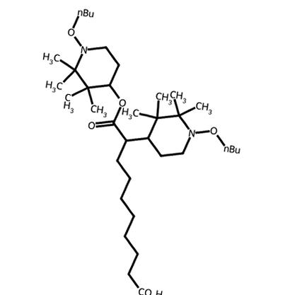 CCCCON1CCC(OC(=O)C(CCCCCCCC(=O)O)C2CCN(OCCCC)C(C)(C)C2(C)C)C(C)(C)C1(C)C